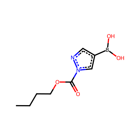 CCCCOC(=O)n1cc(B(O)O)cn1